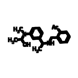 CC(=O)c1ccccc1CNC(C)c1cccc(N(C)C(C)O)c1